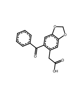 O=C(O)Cc1cc2c(cc1C(=O)c1ccccc1)OCO2